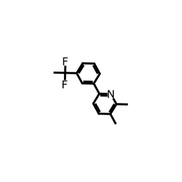 Cc1ccc(-c2cccc(C(C)(F)F)c2)nc1C